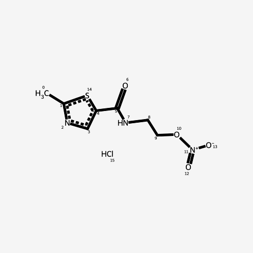 Cc1ncc(C(=O)NCCO[N+](=O)[O-])s1.Cl